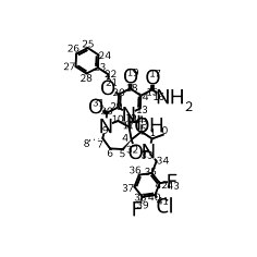 CC1[C@H](O)[C@]2(CC[C@H](C)N3C[C@H]2n2cc(C(N)=O)c(=O)c(OCc4ccccc4)c2C3=O)ON1Cc1ccc(F)c(Cl)c1F